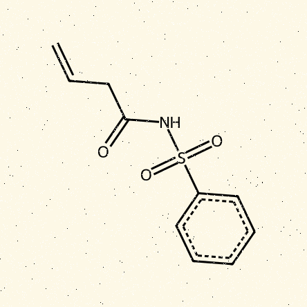 C=CCC(=O)NS(=O)(=O)c1ccccc1